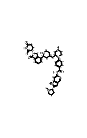 CN1CCC[C@@H]1c1cc2cnc(NC(=O)c3ccc(N4CCNCC4CC4CCNC(c5cccc6c5CN([C@H]5CCC(=O)NC5=O)C6=O)C4)cc3)cc2[nH]1